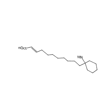 CCCCCCCC/C=C/CCCCCCCCC1([NH])CCCCC1